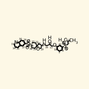 CC(C)CS(=O)(=O)c1cccc(OC[C@@H](O)CN[C@H]2COC3(CCN(S(=O)(=O)c4ccc5ncccc5c4)CC3)C2)c1